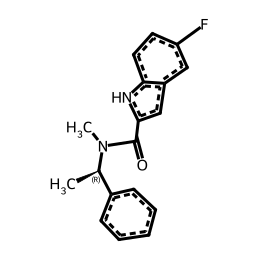 C[C@H](c1ccccc1)N(C)C(=O)c1cc2cc(F)ccc2[nH]1